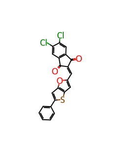 O=C1C(=Cc2cc3sc(-c4ccccc4)cc3o2)C(=O)c2cc(Cl)c(Cl)cc21